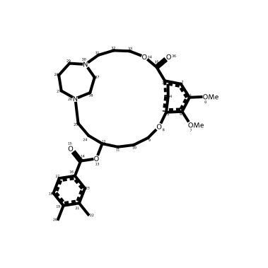 COc1cc2cc(c1OC)OCCCC(OC(=O)c1ccc(C)c(C)c1)CCN1CCCN(CCCOC2=O)CC1